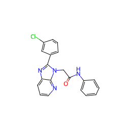 O=C(Cn1c(-c2cccc(Cl)c2)nc2cccnc21)Nc1ccccc1